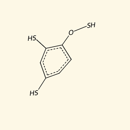 SOc1ccc(S)cc1S